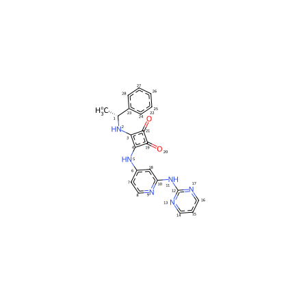 C[C@@H](Nc1c(Nc2ccnc(Nc3ncccn3)c2)c(=O)c1=O)c1ccccc1